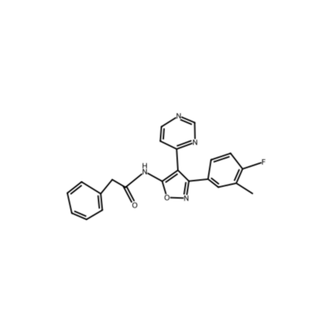 Cc1cc(-c2noc(NC(=O)Cc3ccccc3)c2-c2ccncn2)ccc1F